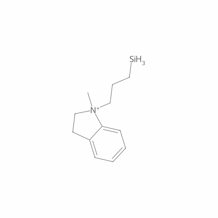 C[N+]1(CCC[SiH3])CCc2ccccc21